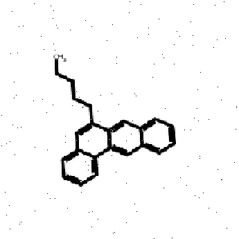 CCCCCc1cc2ccccc2c2cc3ccccc3cc12